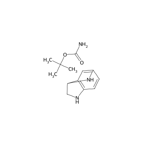 CC(C)(C)OC(N)=O.c1cc2c3cc1NC3CN2